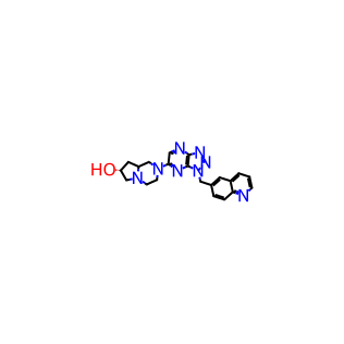 O[C@@H]1CC2CN(c3cnc4nnn(Cc5ccc6ncccc6c5)c4n3)CCN2C1